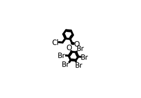 O=C(Oc1c(Br)c(Br)c(Br)c(Br)c1Br)c1ccccc1CCl